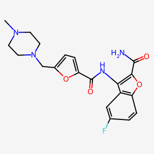 CN1CCN(Cc2ccc(C(=O)Nc3c(C(N)=O)oc4ccc(F)cc34)o2)CC1